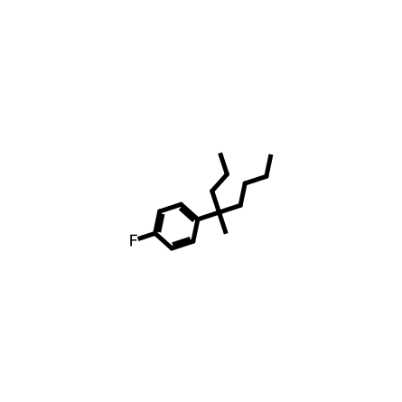 CCCCC(C)(CCC)c1ccc(F)cc1